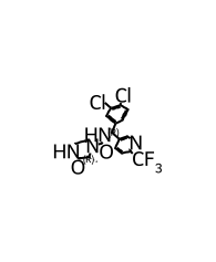 C[C@@H]1C(=O)NCCN1C(=O)N[C@@H](c1ccc(C(F)(F)F)nc1)c1ccc(Cl)c(Cl)c1